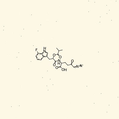 CC(C)C(=O)OC(Cc1c[nH]c2c(F)cccc12)C(=O)NC(CCC(=O)C=[N+]=[N-])C(=O)O